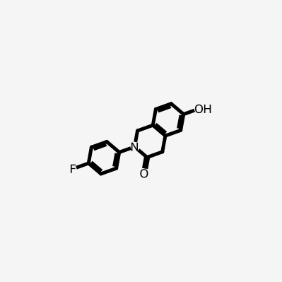 O=C1Cc2cc(O)ccc2CN1c1ccc(F)cc1